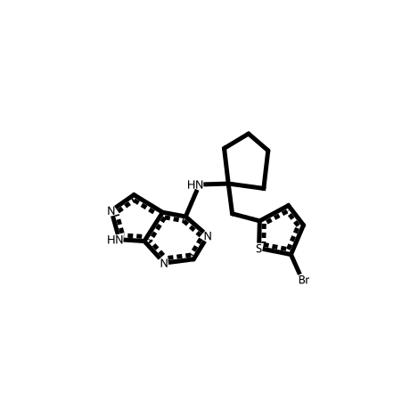 Brc1ccc(CC2(Nc3ncnc4[nH]ncc34)CCCC2)s1